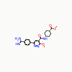 COc1nnc(-c2ccc(C(=N)N)cc2)cc1C(=O)N[C@H]1CC[C@H](C(=O)OC)CC1